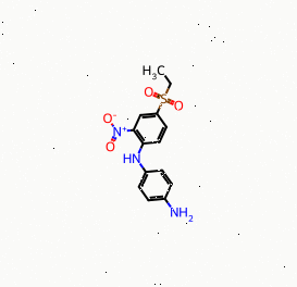 CCS(=O)(=O)c1ccc(Nc2ccc(N)cc2)c([N+](=O)[O-])c1